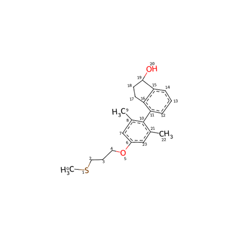 CSCCCOc1cc(C)c(-c2cccc3c2CCC3O)c(C)c1